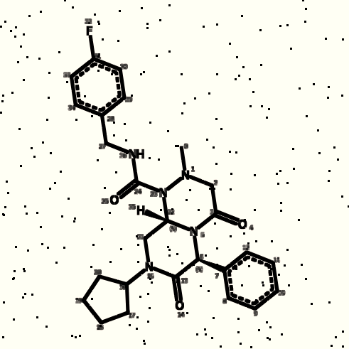 CN1CC(=O)N2[C@@H](c3ccccc3)C(=O)N(C3CCCC3)C[C@@H]2N1C(=O)NCc1ccc(F)cc1